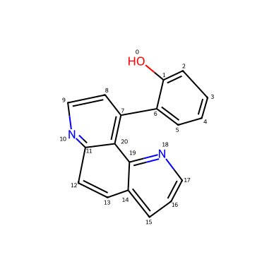 Oc1ccccc1-c1ccnc2ccc3cccnc3c12